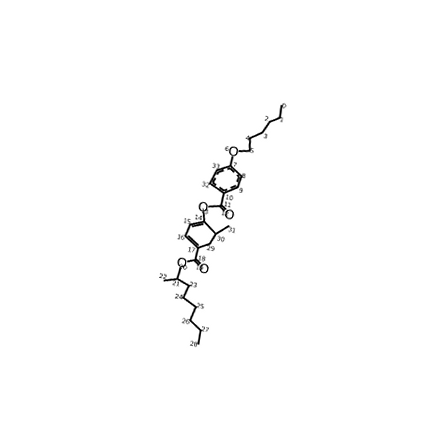 CCCCCCOc1ccc(C(=O)OC2=CC=C(C(=O)OC(C)CCCCCC)CC2C)cc1